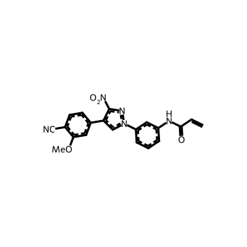 C=CC(=O)Nc1cccc(-n2cc(-c3ccc(C#N)c(OC)c3)c([N+](=O)[O-])n2)c1